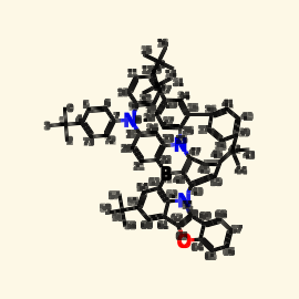 CC(C)(C)c1ccc(N(c2ccc(C(C)(C)C)cc2)c2ccc3c(c2)N2c4ccc(C(C)(C)C)cc4-c4ccc(cc4)C(C)(C)c4cc2c2c(c4)-n4c5c(cc(C(C)(C)C)cc5c5oc6ccccc6c54)B32)cc1